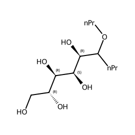 CCCOC(CCC)[C@H](O)[C@@H](O)[C@H](O)[C@H](O)CO